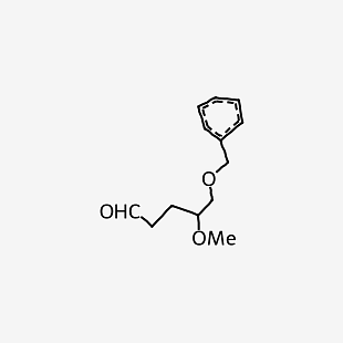 COC(CCC=O)COCc1ccccc1